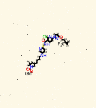 CC(C)(C)OC(=O)N1CC(CCCCNc2ccc(SNC(=O)c3ccc(-n4ccc(OCCC5(C(F)(F)F)CC5)n4)nc3Cl)nc2)CC1(C)C